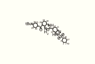 Cc1ccc(S(=O)(=O)c2nc3ccc(C(=O)Nc4cccc(C(=O)c5ccc(C(C)(C)C)cc5)c4N)cc3[nH]2)cc1